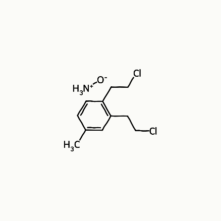 Cc1ccc(CCCl)c(CCCl)c1.[NH3+][O-]